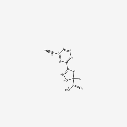 CC1(C(=O)O)CC(c2cccc(C#N)c2)=NO1